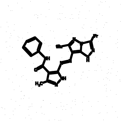 Cc1n[nH]c(N=Nc2c(C(C)(C)C)nn3c(C(C)C)n[nH]c23)c1C(=O)Nc1ccccc1